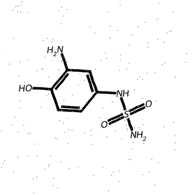 Nc1cc(NS(N)(=O)=O)ccc1O